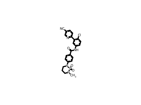 CN1CCCN(c2ccc(C(=O)Nc3ccc(Cl)c(-c4ccc(C#N)cn4)c3)cc2)S1(=O)=O